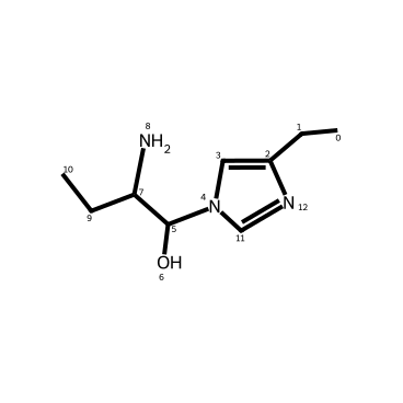 CCc1cn(C(O)C(N)CC)cn1